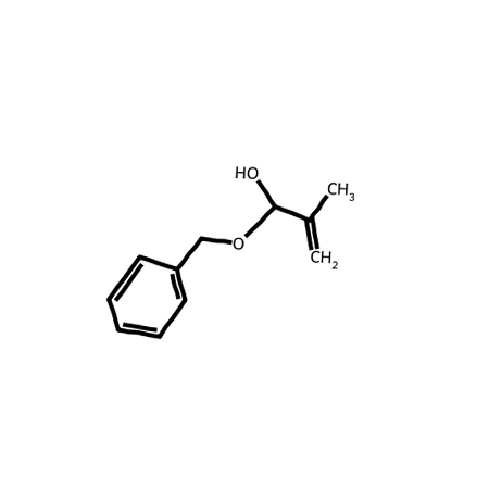 C=C(C)C(O)OCc1ccccc1